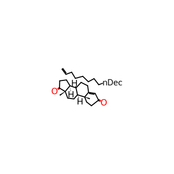 C=CCCCCCCCCCCCCCCCC.C[C@]12CCC(=O)C=C1CC[C@@H]1[C@@H]2CC[C@]2(C)C(=O)CC[C@@H]12